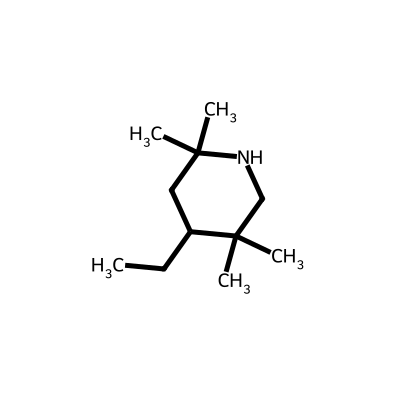 CCC1CC(C)(C)NCC1(C)C